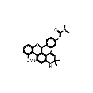 COc1cccc2c1-c1ccc3c(c1C(c1ccc(OC(=O)N(C)C)cc1)O2)C(C)=CC(C)(C)N3